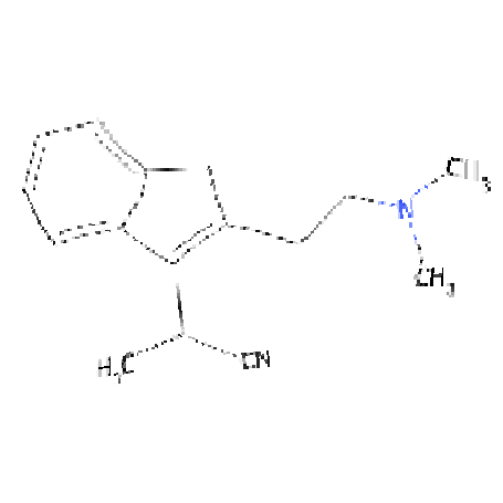 CC(C#N)C1=C(CCN(C)C)Cc2ccccc21